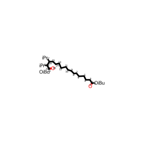 CC(C)COC(=O)CCCCCCCCCCCCCC(C(C)C)C(C(=O)OCC(C)C)C(C)C